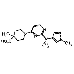 CN(c1cnn(C)c1)c1nccc(N2CCC(C)(C(=O)O)CC2)n1